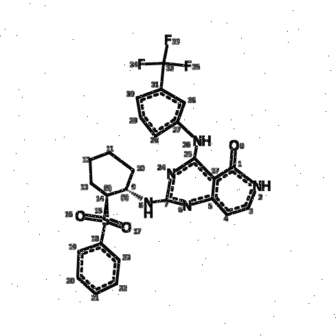 O=c1[nH]ccc2nc(N[C@H]3CCCC[C@@H]3S(=O)(=O)c3ccccc3)nc(Nc3cccc(C(F)(F)F)c3)c12